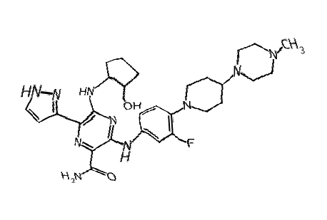 CN1CCN(C2CCN(c3ccc(Nc4nc(NC5CCCC5O)c(-c5cc[nH]n5)nc4C(N)=O)cc3F)CC2)CC1